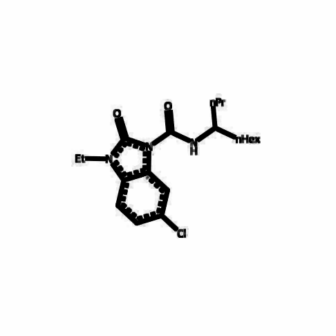 CCCCCCC(CCC)NC(=O)n1c(=O)n(CC)c2ccc(Cl)cc21